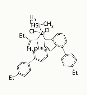 CCC1=Cc2c(-c3ccc(CC)cc3)cccc2[CH]1[Zr]([Cl])([Cl])([CH]1C(C)=Cc2c(-c3ccc(CC)cc3)cccc21)[SiH](C)C